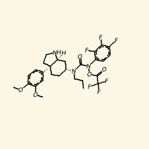 CCCN(C(=O)N(OC(=O)C(F)(F)F)c1ccc(F)c(F)c1F)[C@@H]1CC[C@@]2(c3ccc(OC)c(OC)c3)CCN[C@H]2C1